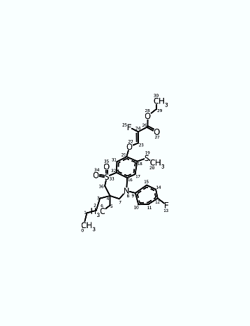 CCCCC1(CC)CN(c2ccc(F)cc2)c2cc(SC)c(O/C=C(\F)C(=O)OCC)cc2S(=O)(=O)C1